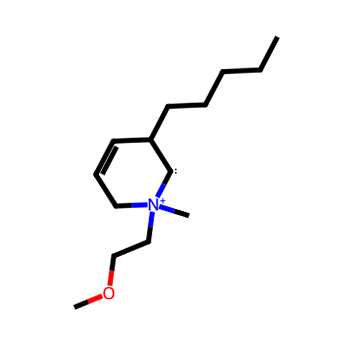 CCCCCC1[C][N+](C)(CCOC)CC=C1